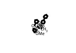 COc1cccc(-n2c(C(C)N(C)S(=O)(=O)c3ccc(-c4ccccc4)cc3)nc3ccccc3c2=O)c1